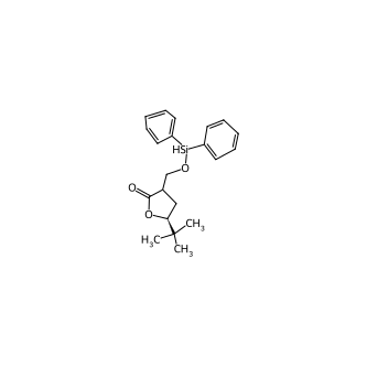 CC(C)(C)[C@@H]1CC(CO[SiH](c2ccccc2)c2ccccc2)C(=O)O1